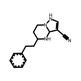 N#CC1=CNN2CCC(CCc3ccccc3)NC12